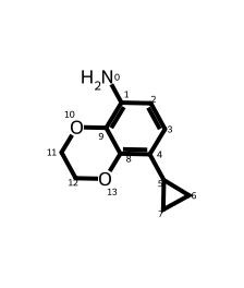 Nc1ccc(C2CC2)c2c1OCCO2